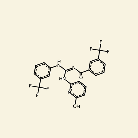 O=C(/N=C(/Nc1cccc(C(F)(F)F)c1)Nc1cccc(O)n1)c1cccc(C(F)(F)F)c1